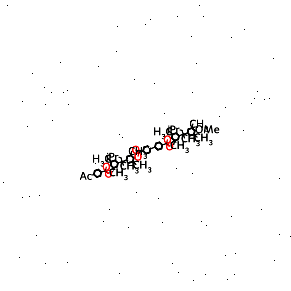 COc1c(C)cc(C(C)(CC(C)C)c2cc(C)c(OC(=O)c3ccc(-c4ccc(C(=O)Oc5c(C)cc(C(C)(CC(C)C)c6cc(C)c(OC(=O)c7ccc(C(C)=O)cc7)c(C)c6)cc5C)cc4)cc3)c(C)c2)cc1C